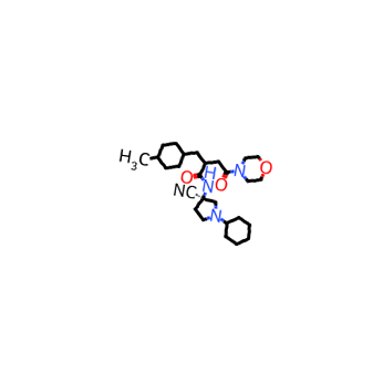 CC1CCC(CC(CC(=O)N2CCOCC2)C(=O)N[C@]2(C#N)CCN(C3CCCCC3)C2)CC1